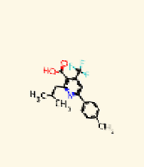 Cc1ccc(-c2cc(C(F)(F)F)c(C(=O)O)c(CC(C)C)n2)cc1